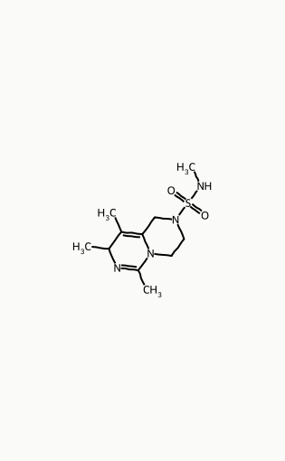 CNS(=O)(=O)N1CCN2C(C)=NC(C)C(C)=C2C1